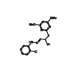 COc1cc(OC)nc(SC(C=NNc2ccccc2Cl)C(C)C)n1